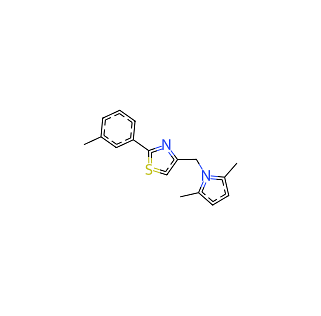 Cc1cccc(-c2nc(Cn3c(C)ccc3C)cs2)c1